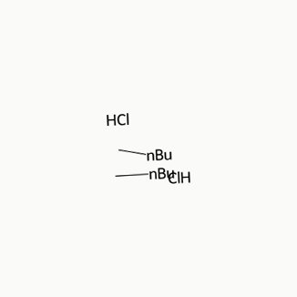 CCCCC.CCCCC.Cl.Cl